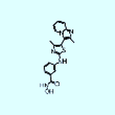 Cc1nc(Nc2cccc(C(=O)NO)c2)sc1-c1c(C)nc2ccccn12